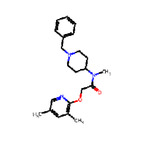 Cc1cnc(OCC(=O)N(C)C2CCN(Cc3ccccc3)CC2)c(C)c1